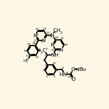 CC(Cc1cccc(CNC(=O)OC(C)(C)C)c1)Nc1nccc(N(C)c2ccnc(-c3ccc(F)cc3)n2)n1